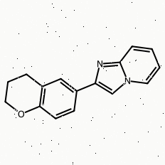 c1ccn2cc(-c3ccc4c(c3)CCCO4)nc2c1